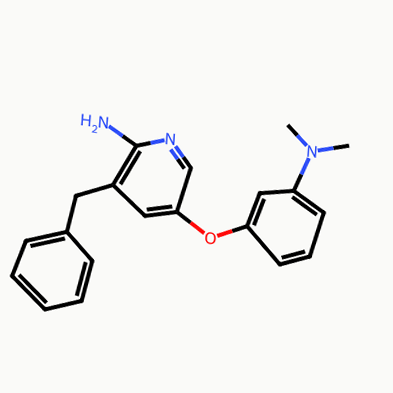 CN(C)c1cccc(Oc2cnc(N)c(Cc3ccccc3)c2)c1